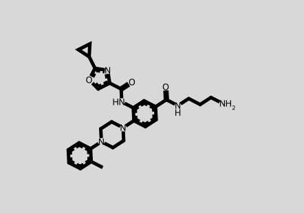 Cc1ccccc1N1CCN(c2ccc(C(=O)NCCCN)cc2NC(=O)c2coc(C3CC3)n2)CC1